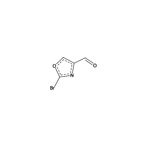 O=Cc1coc(Br)n1